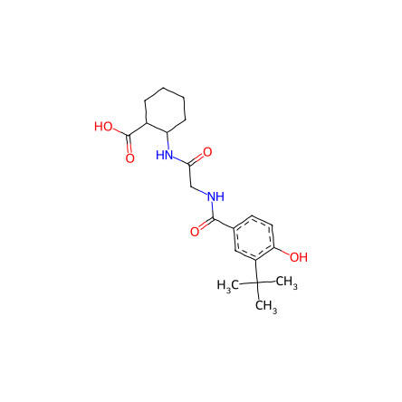 CC(C)(C)c1cc(C(=O)NCC(=O)NC2CCCCC2C(=O)O)ccc1O